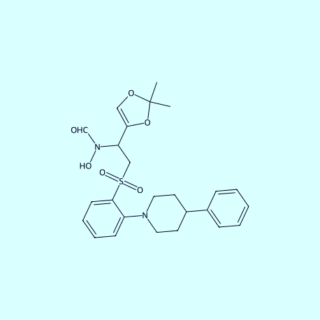 CC1(C)OC=C(C(CS(=O)(=O)c2ccccc2N2CCC(c3ccccc3)CC2)N(O)C=O)O1